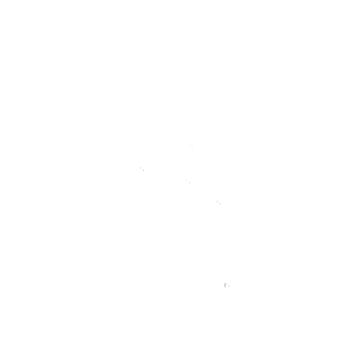 CS(=O)(=O)NCCCC[C@@H](NC1CCCC1)C(=O)N1CCN(C(=O)Oc2ccc3ccccc3c2Cl)C[C@H]1C(=O)NCc1cccs1